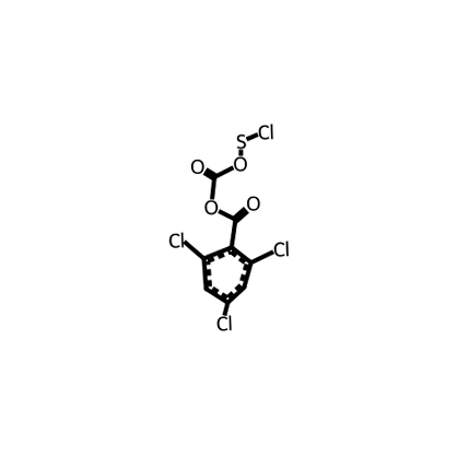 O=C(OSCl)OC(=O)c1c(Cl)cc(Cl)cc1Cl